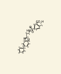 Cc1ccc(S(=O)(=O)NCCc2nc3cc(-c4ccccc4)ccc3o2)cc1C(=O)O